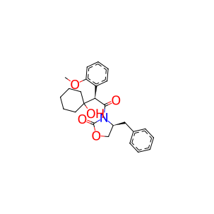 COc1ccccc1[C@@H](C(=O)N1C(=O)OC[C@@H]1Cc1ccccc1)C1(O)CCCCC1